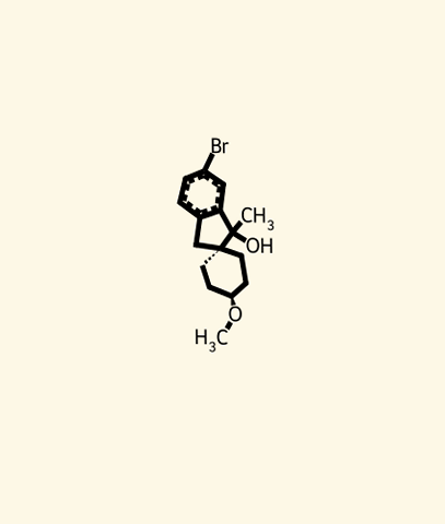 CO[C@H]1CC[C@]2(CC1)Cc1ccc(Br)cc1C2(C)O